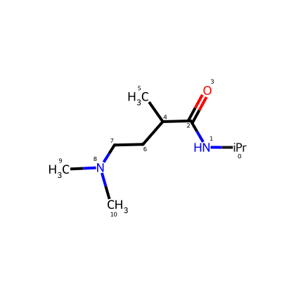 CC(C)NC(=O)C(C)CCN(C)C